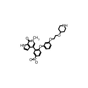 Cn1cc(-c2cc([N+](=O)[O-])ccc2Oc2cccc(OCCOC3CCNCC3)c2)c2cc[nH]c2c1=O